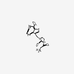 NC(=O)[C@@H]1CCN(Cc2csc3c(Cl)ncnc23)C1=O